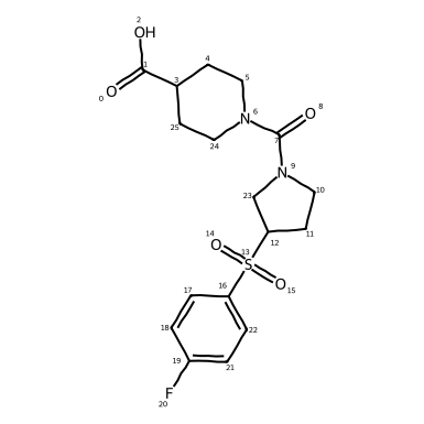 O=C(O)C1CCN(C(=O)N2CCC(S(=O)(=O)c3ccc(F)cc3)C2)CC1